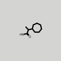 CC(C([NH])=O)C1CCCCCC1